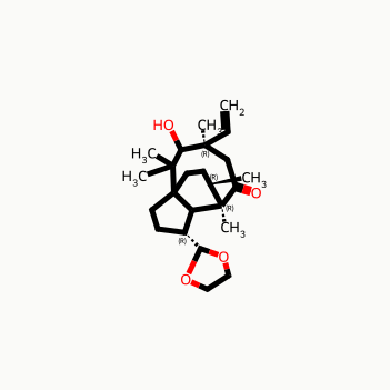 C=C[C@@]1(C)CC(=O)[C@@]2(C)C3[C@H](C4OCCO4)CCC3(CC[C@H]2C)C(C)(C)C1O